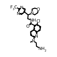 CN(CCN)c1ccc2c(C(=O)NCC(c3cnc(C(F)(F)F)nc3)N3CCOCC3)c(Cl)ccc2n1